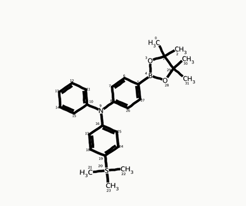 CC1(C)OB(c2ccc(N(c3ccccc3)c3ccc(S(C)(C)C)cc3)cc2)OC1(C)C